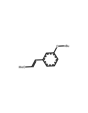 CCCCOc1cccc(/C=C/OC)c1